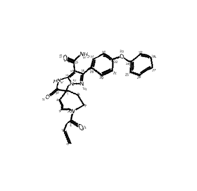 C=CC(=O)N1CCC2(CC1)C(=O)Nc1c(C(N)=O)c(-c3ccc(Oc4ccccc4)cc3)nn12